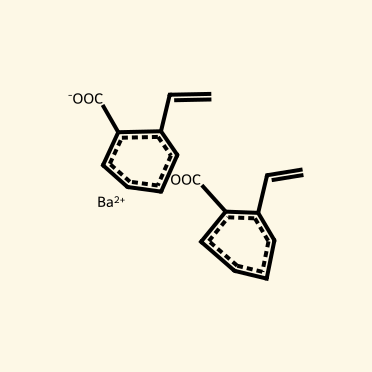 C=Cc1ccccc1C(=O)[O-].C=Cc1ccccc1C(=O)[O-].[Ba+2]